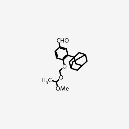 COC(C)OCOc1ccc(C=O)cc1C12CC3CC(CC(C3)C1)C2